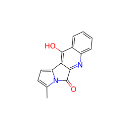 Cc1ccc2n1C(=O)c1nc3ccccc3c(O)c1-2